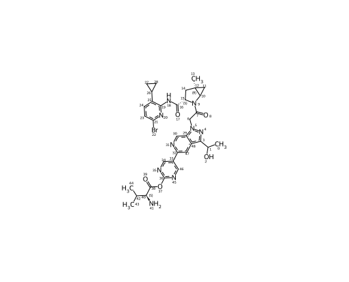 CC(O)c1nn(CC(=O)N2C3C[C@]3(C)C[C@H]2C(=O)Nc2nc(Br)ccc2C2CC2)c2cnc(-c3cnc(OC(=O)[C@@H](N)C(C)C)nc3)cc12